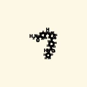 NC(=O)c1ccc(Nc2cc(-c3ccc(C(=O)NC4CCCC4)cc3)ncn2)cc1